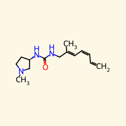 C=C/C=C\C=C(/C)CNC(=O)N[C@@H]1CCN(C)C1